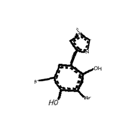 Oc1c(Br)cc(-c2cs[c]n2)c(O)c1Br